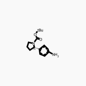 CC(C)(C)OC(=O)N1CCC[C@H]1c1ccc(N)cc1